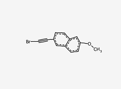 COc1ccc2cc(C#CBr)ccc2c1